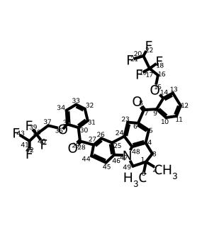 CC1(C)Cc2cc(C(=O)c3ccccc3OCC(F)(F)C(F)F)cc3c4cc(C(=O)c5ccccc5OCC(F)(F)C(F)F)ccc4n(c23)C1